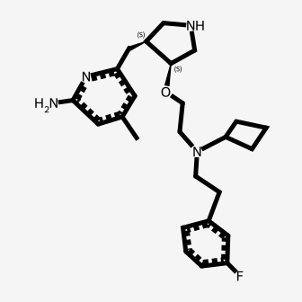 Cc1cc(N)nc(C[C@H]2CNC[C@H]2OCCN(CCc2cccc(F)c2)C2CCC2)c1